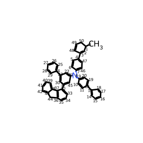 CC1C=C(c2ccc(N(c3ccc(-c4ccccc4)cc3)c3cc(-c4ccccc4)cc(-c4cccc5c4-c4ccccc4C5)c3)cc2)C=CC1